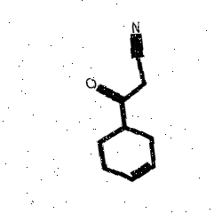 N#CCC(=O)C1CC=CCC1